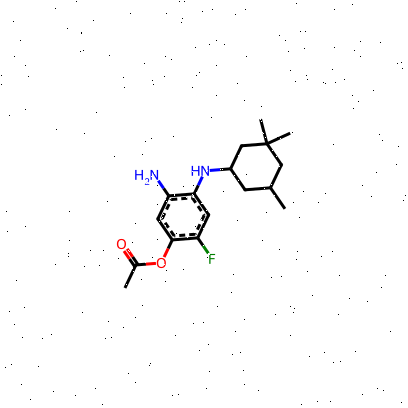 CC(=O)Oc1cc(N)c(NC2CC(C)CC(C)(C)C2)cc1F